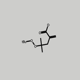 C=C(CC(C)(C)OOC(C)(C)C)C([O])=O